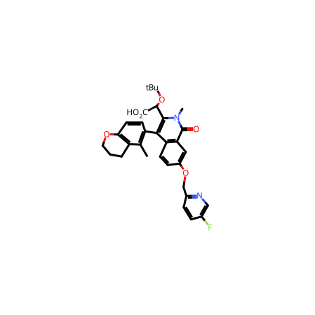 Cc1c(-c2c(C(OC(C)(C)C)C(=O)O)n(C)c(=O)c3cc(OCc4ccc(F)cn4)ccc23)ccc2c1CCCO2